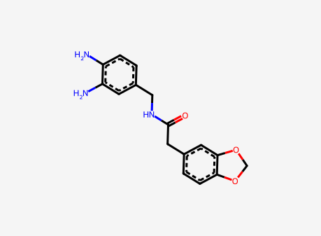 Nc1ccc(CNC(=O)Cc2ccc3c(c2)OCO3)cc1N